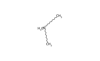 CCCCCCCCCCCN(C)CCCCCCCCCC